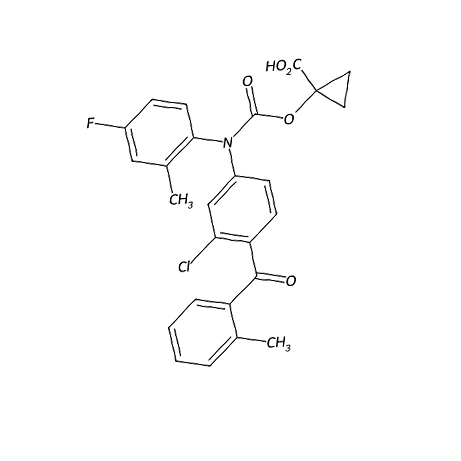 Cc1ccccc1C(=O)c1ccc(N(C(=O)OC2(C(=O)O)CC2)c2ccc(F)cc2C)cc1Cl